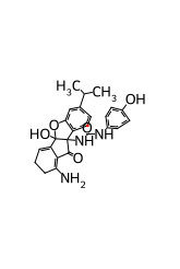 CC(C)c1ccc2c(c1)OC1(O)C3=CCCC(N)=C3C(=O)C21NC(=O)Nc1ccc(O)cc1